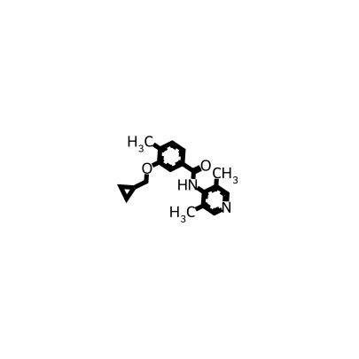 Cc1ccc(C(=O)Nc2c(C)cncc2C)cc1OCC1CC1